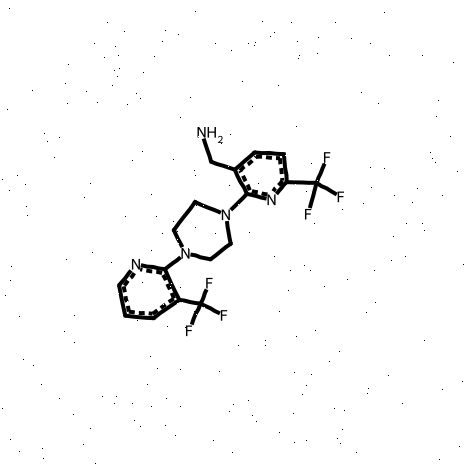 NCc1ccc(C(F)(F)F)nc1N1CCN(c2ncccc2C(F)(F)F)CC1